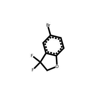 FC1(F)COc2ccc(Br)cc21